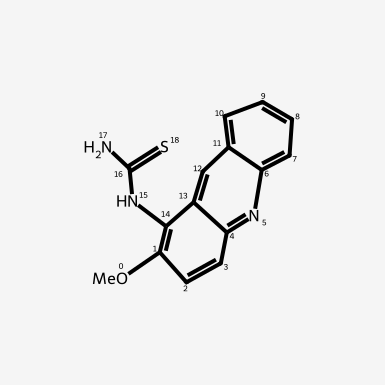 COc1ccc2nc3ccccc3cc2c1NC(N)=S